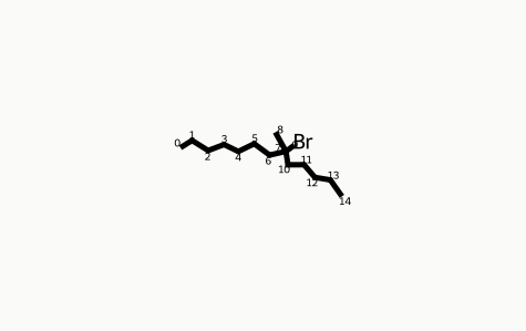 CCCCCCCC(C)(Br)CCCCC